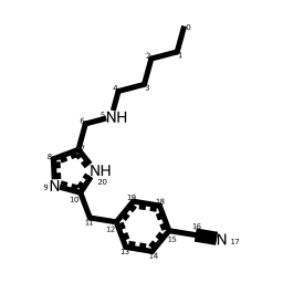 CCCCCNCc1cnc(Cc2ccc(C#N)cc2)[nH]1